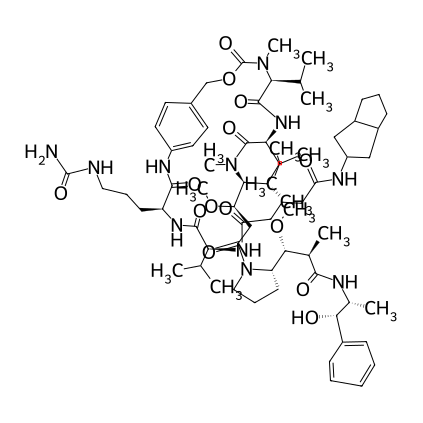 CC[C@H](C)[C@@H]([C@@H](CC(=O)N1CCC[C@H]1[C@H](OC)[C@@H](C)C(=O)N[C@H](C)[C@@H](O)c1ccccc1)OC)N(C)C(=O)[C@@H](NC(=O)[C@H](C(C)C)N(C)C(=O)OCc1ccc(NC(=O)[C@H](CCCNC(N)=O)NC(=O)[C@@H](NC(=O)CCCC(=O)NC2CC3CCCC3C2)C(C)C)cc1)C(C)C